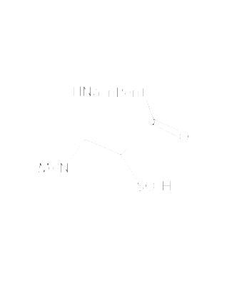 CCCCCC(=O)C(CNC)S(=O)(=O)O.[NaH]